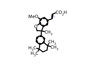 COc1cc(/C=C/C(=O)O)cc2c1OCC2(C)c1ccc2c(c1)C(C)(C)CCC2(C)C